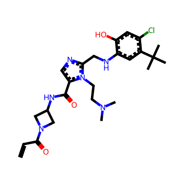 C=CC(=O)N1CC(NC(=O)c2cnc(CNc3cc(C(C)(C)C)c(Cl)cc3O)n2CCN(C)C)C1